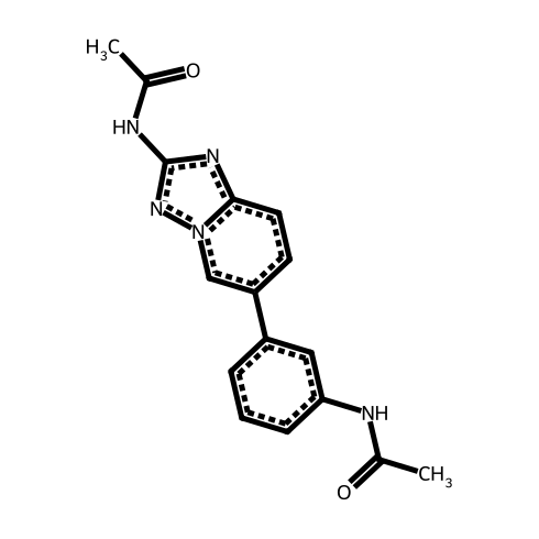 CC(=O)Nc1cccc(-c2ccc3nc(NC(C)=O)nn3c2)c1